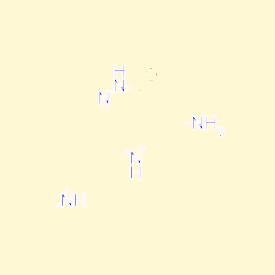 CNCC#Cc1[nH]c2cc(N)cc3c2c1C=NNC3=O